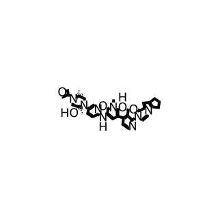 C[C@@H]1CN(c2ccc(Nc3cc(-c4ccnc(-n5ccn6c7c(cc6c5=O)CCC7)c4CO)cn(C)c3=O)nc2)[C@@](C)(O)CN1C1COC1